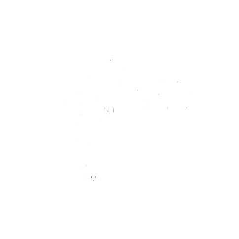 COOCc1ccc2c(C3CCCCC3)c(-c3ccccc3CCOC3CCCCO3)[nH]c2c1